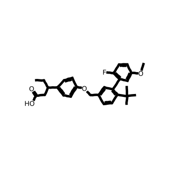 CCC(CC(=O)O)c1ccc(OCc2ccc(C(C)(C)C)c(-c3cc(OC)ccc3F)c2)cc1